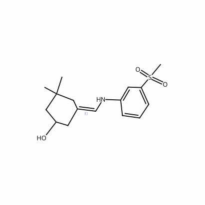 CC1(C)C/C(=C\Nc2cccc(S(C)(=O)=O)c2)CC(O)C1